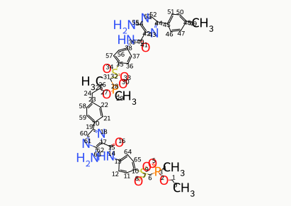 CCOP(C)(=O)CS(=O)(=O)c1ccc(NC(=O)c2nc(-c3ccc(CC(C)O[P@@](C)(=O)CS(=O)(=O)c4ccc(NC(=O)c5nc(-c6ccc(C)cc6)cnc5N)cc4)cc3)cnc2N)cc1